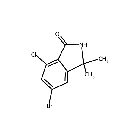 CC1(C)NC(=O)c2c(Cl)cc(Br)cc21